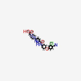 N#Cc1ccc(OC2CCC(NC(=O)c3ccc(N4CCN(CC(=O)O)CC4)nn3)CC2)cc1Cl